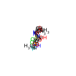 CCC(NS(=O)(=O)c1ccc(-c2sc(-c3nnc(CC(C)(C)C(=O)OC)o3)nc2C(=O)O)c(Cl)c1Cl)C(F)(F)F